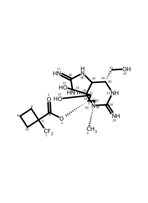 C[C@H]1[C@H](OC(=O)C2(C(F)(F)F)CCC2)C(O)(O)[C@]23NC(=N)NC2[C@H](CO)NC(=N)N13